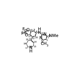 CNc1cc(C)nc(Nc2cc3c(c(C4=CCNCCC4)c2)OC(F)(F)O3)n1